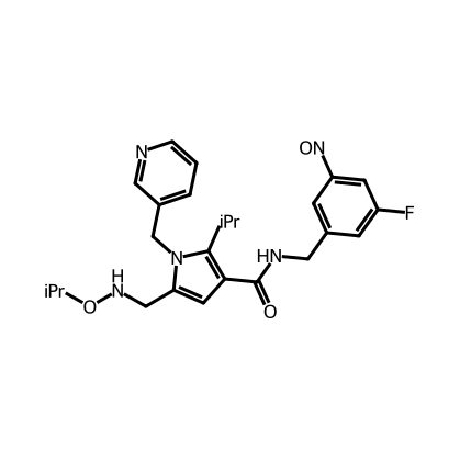 CC(C)ONCc1cc(C(=O)NCc2cc(F)cc(N=O)c2)c(C(C)C)n1Cc1cccnc1